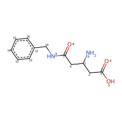 NC(CC(=O)O)CC(=O)NCc1ccccc1